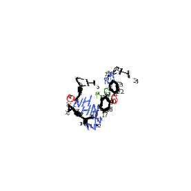 CC#CC(=O)NC1(C#Cc2cncnc2Nc2ccc(Oc3ccc4c(c3)ncn4C)c(Cl)c2F)CC1